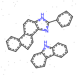 c1ccc(-c2nc3c(ccc4c5ccccc5ccc43)[nH]2)cc1.c1ccc2c(c1)[nH]c1ccccc12